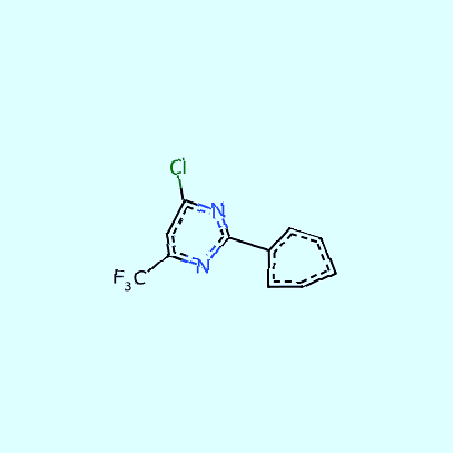 FC(F)(F)c1cc(Cl)nc(-c2ccccc2)n1